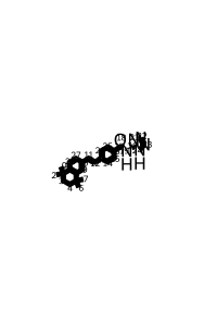 CC1(C)CCC(C)(C)c2cc(C=Cc3ccc(C(=O)Nc4nnn[nH]4)cc3)ccc21